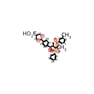 Cc1cccc(S(=O)(=O)CC(C(=O)c2ccc(C3OCC(C(=O)O)CO3)cc2)C(C)S(=O)(=O)c2ccccc2)c1